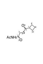 CC(=O)NC(=O)CSC(=O)C1CCC1